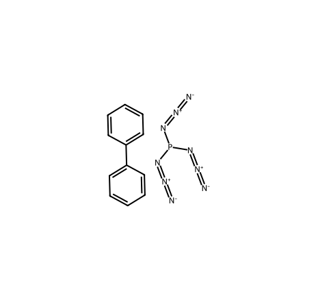 [N-]=[N+]=NP(N=[N+]=[N-])N=[N+]=[N-].c1ccc(-c2ccccc2)cc1